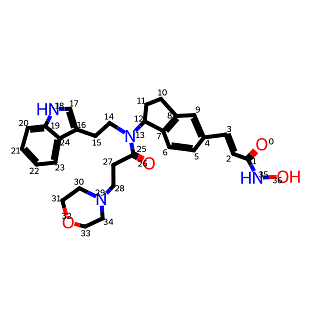 O=C(/C=C/c1ccc2c(c1)CCC2N(CCc1c[nH]c2ccccc12)C(=O)CCN1CCOCC1)NO